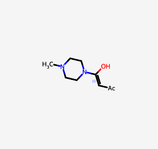 CC(=O)/C=C(\O)N1CCN(C)CC1